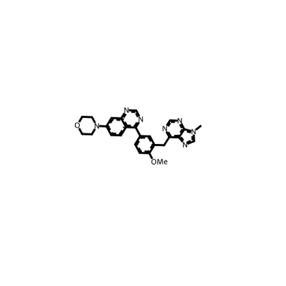 COc1ccc(-c2ncnc3cc(N4CCOCC4)ccc23)cc1Cc1ncnc2c1ncn2C